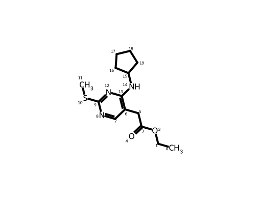 CCOC(=O)Cc1cnc(SC)nc1NC1CCCC1